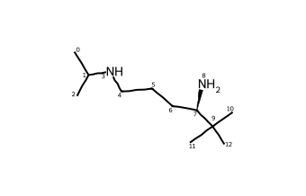 CC(C)NCCC[C@@H](N)C(C)(C)C